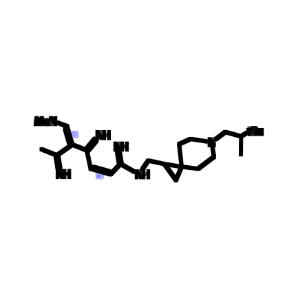 CN/C=C(\C(C)=N)C(=N)/C=C\C(=N)NCC1CC12CCN(CC(C)C(C)(C)C)CC2